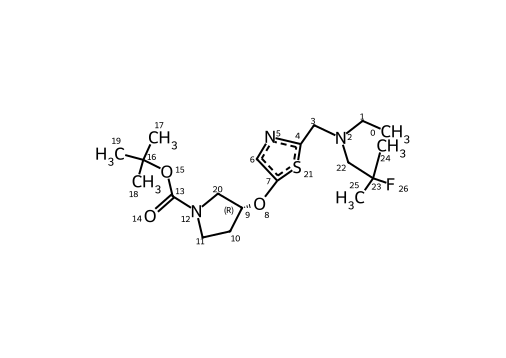 CCN(Cc1ncc(O[C@@H]2CCN(C(=O)OC(C)(C)C)C2)s1)CC(C)(C)F